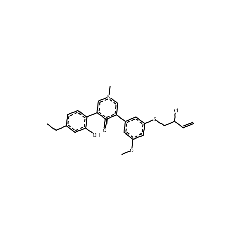 C=CC(Cl)CSc1cc(OC)cc(-c2cn(C)cc(-c3ccc(CC)cc3O)c2=O)c1